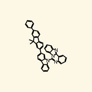 CC1(C)c2cc(-c3ccccc3)ccc2-c2ccc(-c3ccc4c5ccccc5n(-c5nc6ccccc6c6nc7ccccc7n56)c4c3)cc21